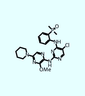 COc1nc(N2CCCCC2)cnc1Nc1ncc(Cl)c(Nc2ccccc2P(C)(C)=O)n1